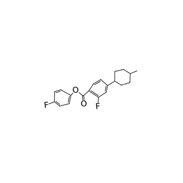 CC1CCC(c2ccc(C(=O)Oc3ccc(F)cc3)c(F)c2)CC1